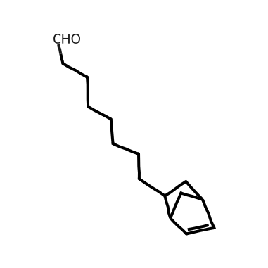 O=CCCCCCCCC1CC2C=CC1C2